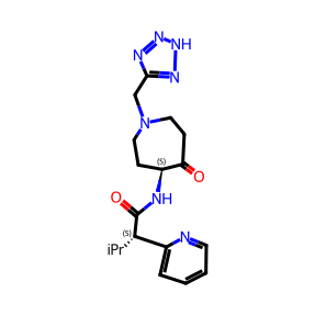 CC(C)[C@H](C(=O)N[C@H]1CCN(Cc2nn[nH]n2)CCC1=O)c1ccccn1